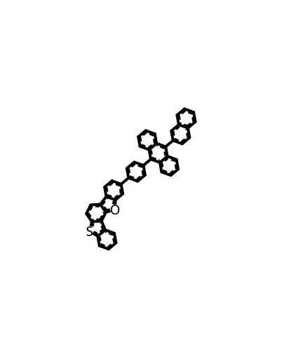 c1ccc2cc(-c3c4ccccc4c(-c4ccc(-c5ccc6c(c5)oc5c6ccc6sc7ccccc7c65)cc4)c4ccccc34)ccc2c1